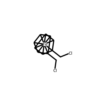 ClC[C]12[CH]3[CH]4[CH]5[CH]1[Fe]45321678[CH]2[CH]1[CH]6[C]7(CCl)[CH]28